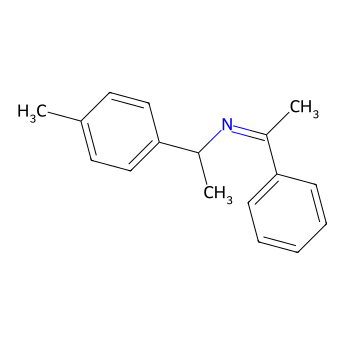 CC(=NC(C)c1ccc(C)cc1)c1ccccc1